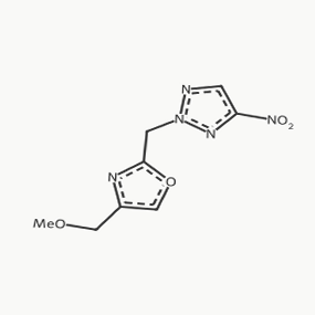 COCc1coc(Cn2ncc([N+](=O)[O-])n2)n1